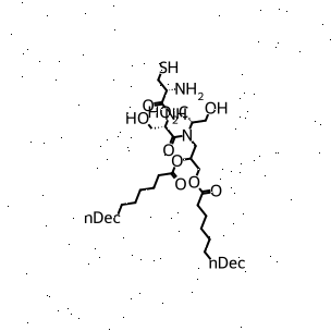 CCCCCCCCCCCCCCCC(=O)OCC(CN(C(=O)[C@H](CO)NC(=O)[C@@H](N)CS)[C@@H](CO)C(=O)O)OC(=O)CCCCCCCCCCCCCCC